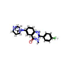 Cn1c(-c2ccc(F)cc2)nc2ccc(N3CCN4CCC3CC4)cc2c1=O